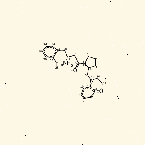 N[C@@H](CC(=O)N1CCCC1CN1CCOc2ccccc21)Cc1ccccc1F